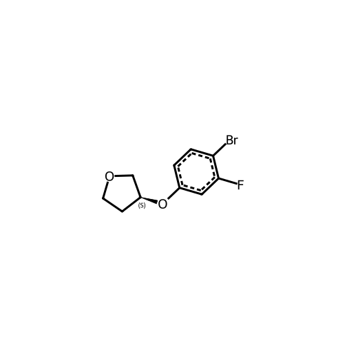 Fc1cc(O[C@H]2CCOC2)ccc1Br